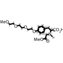 COCCOCCOCCOc1ccc(CC(C(=O)O)N(C)CC(=O)OC)cc1